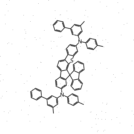 Cc1ccc(N(c2cc(C)cc(-c3ccccc3)c2)c2ccc3c(c2)C2(c4ccccc4-c4ccccc42)c2c-3ccc3c2sc2cc(N(c4ccc(C)cc4)c4cc(C)cc(-c5ccccc5)c4)ccc23)cc1